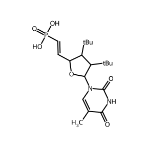 Cc1cn(C2OC(/C=C/P(=O)(O)O)C(C(C)(C)C)C2C(C)(C)C)c(=O)[nH]c1=O